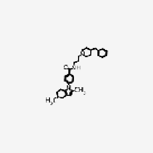 Cc1cc2c(n1-c1ccc(C(=O)NCCCN3CCC(Cc4ccccc4)CC3)cc1)CCC(C)C2